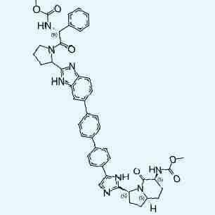 COC(=O)N[C@H]1CC[C@H]2CC[C@@H](c3ncc(-c4ccc(-c5ccc(-c6ccc7nc(C8CCCN8C(=O)[C@H](NC(=O)OC)c8ccccc8)[nH]c7c6)cc5)cc4)[nH]3)N2C1=O